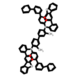 Cc1cc(-c2ccc(N(c3ccc(-c4cccc(-c5ccccc5)c4)cc3)c3ccccc3-c3ccc4oc5ccccc5c4c3)c(C)c2)ccc1N(c1ccc(-c2cccc(-c3ccccc3)c2)cc1)c1ccccc1-c1ccc2oc3ccccc3c2c1